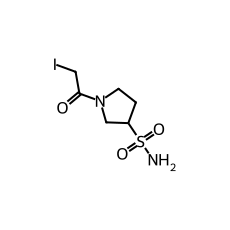 NS(=O)(=O)C1CCN(C(=O)CI)C1